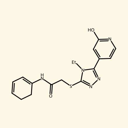 CCn1c(SCC(=O)NC2=CC=CCC2)nnc1-c1ccnc(O)c1